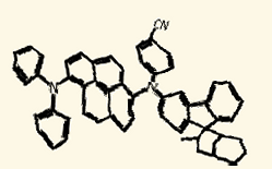 CC1CC2CCCC(C2)C12c1ccccc1-c1cc(N(c3ccc(C#N)cc3)c3ccc4ccc5c(N(c6ccccc6)c6ccccc6)ccc6ccc3c4c65)ccc12